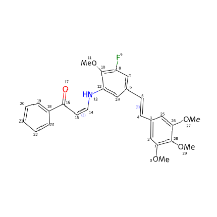 COc1cc(/C=C/c2cc(F)c(OC)c(N/C=C\C(=O)c3ccccc3)c2)cc(OC)c1OC